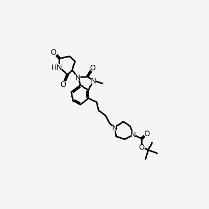 Cn1c(=O)n(C2CCC(=O)NC2=O)c2cccc(CCCCN3CCN(C(=O)OC(C)(C)C)CC3)c21